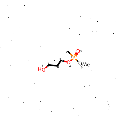 COP(C)(=O)OCCCO